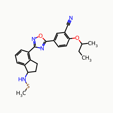 CCC(C)Oc1ccc(-c2nc(-c3cccc4c3CCC4NSC)no2)cc1C#N